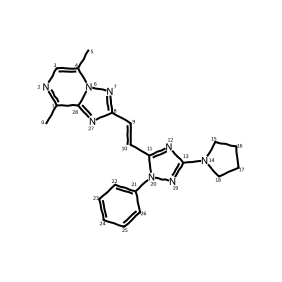 Cc1ncc(C)n2nc(C=Cc3nc(N4CCCC4)nn3-c3ccccc3)nc12